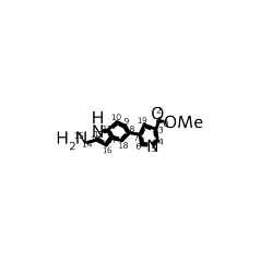 COC(=O)c1cncc(-c2ccc3[nH]c(CN)cc3c2)c1